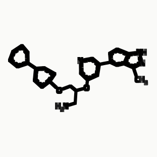 Cc1n[nH]c2ccc(-c3cncc(OC(CN)COc4ccc(-c5ccccc5)cc4)c3)cc12